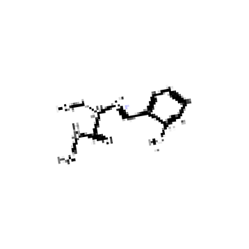 CNC(=O)[C@H](CO)/N=C/c1ccccc1O